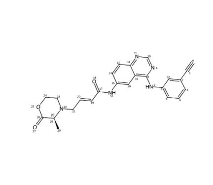 C#Cc1cccc(Nc2ncnc3ccc(NC(=O)C=CCN4CCOC(=O)[C@@H]4C)cc23)c1